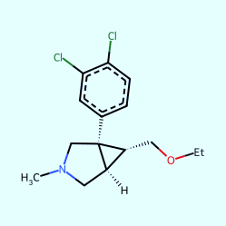 CCOC[C@@H]1[C@H]2CN(C)C[C@@]12c1ccc(Cl)c(Cl)c1